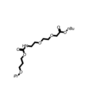 CCCCOC(=O)COCCOCCNC(=O)OCCCOC(C)C